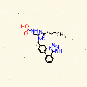 CCCCc1nc(CNC(=O)O)n(Cc2ccc(-c3ccccc3-c3nnn[nH]3)cc2)n1